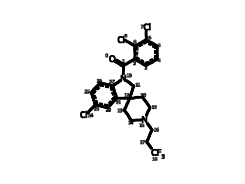 O=C(c1cccc(Cl)c1Cl)N1CC2(CCN(CCC(F)(F)F)CC2)c2cc(Cl)ccc21